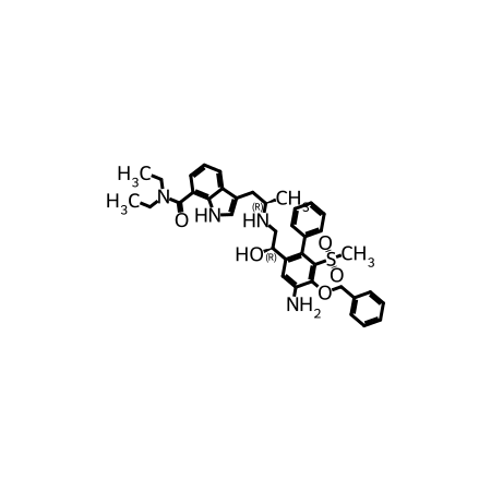 CCN(CC)C(=O)c1cccc2c(C[C@@H](C)NC[C@H](O)c3cc(N)c(OCc4ccccc4)c(S(C)(=O)=O)c3-c3ccccc3)c[nH]c12